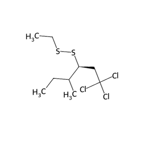 CCSS[C@@H](CC(Cl)(Cl)Cl)C(C)CC